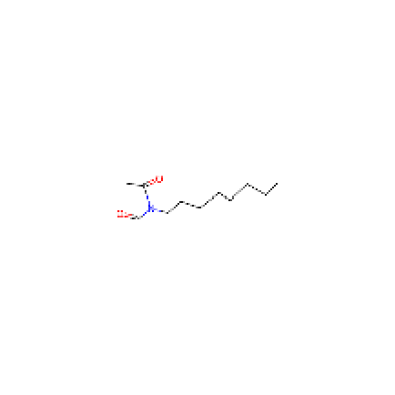 CCCCCCCCN(C=O)C(C)=O